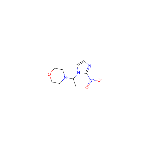 CC(N1CCOCC1)n1ccnc1[N+](=O)[O-]